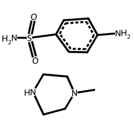 CN1CCNCC1.Nc1ccc(S(N)(=O)=O)cc1